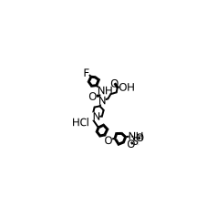 CS(=O)(=O)Nc1ccc(Oc2ccc(CN3CCC(N(CCCC(=O)O)C(=O)Nc4ccc(F)cc4)CC3)cc2)cc1.Cl